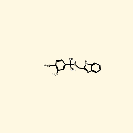 CNc1ccc(C(C)(C)NCc2nc3ccccc3[nH]2)cc1N